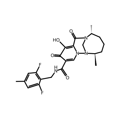 Cc1cc(F)c(CNC(=O)c2cn3c(c(O)c2=O)C(=O)N2CN3[C@H](C)CCC[C@H]2C)c(F)c1